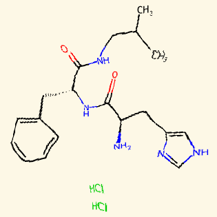 CC(C)CNC(=O)[C@@H](Cc1ccccc1)NC(=O)[C@H](N)Cc1c[nH]cn1.Cl.Cl